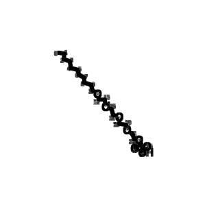 CCCCCCCCCCCOCCOCCOCCOCCOS(=O)(=O)O